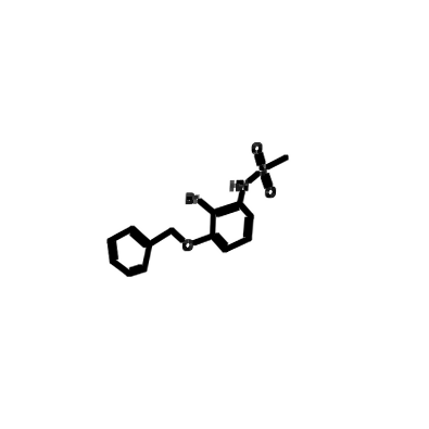 CS(=O)(=O)Nc1cccc(OCc2ccccc2)c1Br